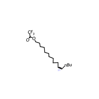 CCCC/C=C\CCCCCCCCCCOC(=O)C(F)(F)F